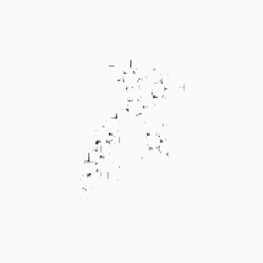 C[C@H]1CC[C@@]2(OC1)O[C@H]1C[C@H]3[C@@H]4CCC5C[C@@H](O[C@@H]6O[C@H](CO[C@@H]7O[C@H](CO)[C@@H](O)[C@H](O)[C@H]7O)[C@@H](O[C@@H]7OC[C@H](O)[C@H](O)[C@H]7O)[C@H](O)[C@H]6O[C@@H]6O[C@H](CO)[C@@H](O)[C@H](O)[C@H]6O)CC[C@]5(C)[C@H]4CC[C@]3(C)[C@H]1[C@@H]2C